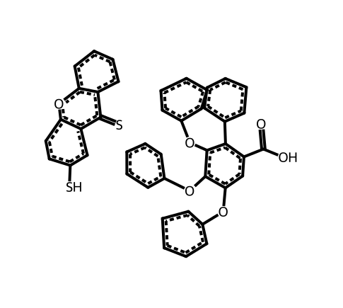 O=C(O)c1cc(Oc2ccccc2)c(Oc2ccccc2)c(Oc2ccccc2)c1-c1ccccc1.S=c1c2ccccc2oc2ccc(S)cc12